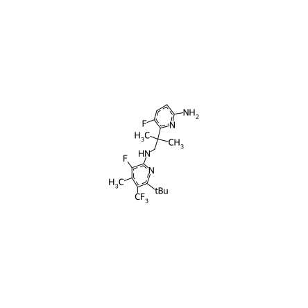 Cc1c(F)c(NCC(C)(C)c2nc(N)ccc2F)nc(C(C)(C)C)c1C(F)(F)F